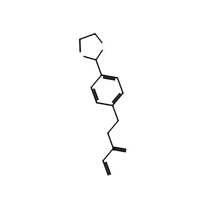 C=CC(=O)CCc1ccc(C2OCCO2)cc1